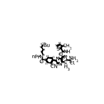 CCCN(CCCCC(C)CC)C(=O)c1ccc(-c2cnc(C)c(/C(=N\CC(N)CC)OC(=N)c3sccc3C)n2)c(C#N)c1